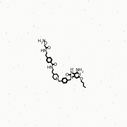 CCCCOc1cc2c([nH]c(=O)n2Cc2ccc(CN3CCC(CCNC(=O)c4ccc(CCNC(=O)CON)cc4)CC3)cc2)c(N)n1